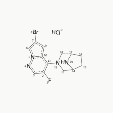 Cl.Fc1cnn2cc(Br)cc2c1N1CC2CCC(C1)N2